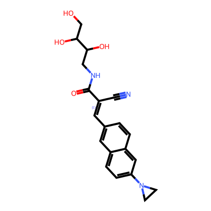 N#C/C(=C\c1ccc2cc(N3CC3)ccc2c1)C(=O)NCC(O)C(O)CO